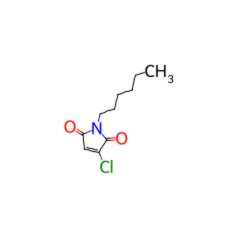 CCCCCCN1C(=O)C=C(Cl)C1=O